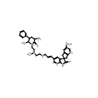 CC1C(c2ccccc2)CC(N)C(=O)N1CCN(C)CCOC/C=C/c1cnc2c(c1)C1(Cc3cc(C(=O)O)cnc3C1)C(=O)N2